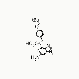 Cn1cnc2c(N(Cc3ccc(OCC(C)(C)C)cc3)C(=O)O)nc(N)cc21